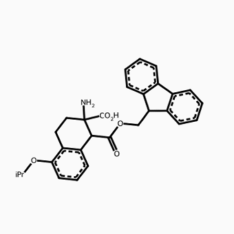 CC(C)Oc1cccc2c1CCC(N)(C(=O)O)C2C(=O)OCC1c2ccccc2-c2ccccc21